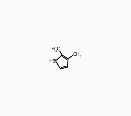 CC1=[C](C)[BiH][CH]=[C]1